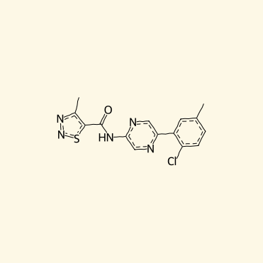 Cc1ccc(Cl)c(-c2cnc(NC(=O)c3snnc3C)cn2)c1